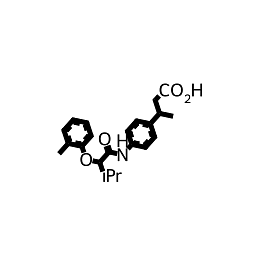 Cc1ccccc1OC(C(=O)Nc1ccc(C(C)CC(=O)O)cc1)C(C)C